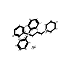 [Br-].c1ccc([P+](CCCN2CCCCC2)(c2ccccc2)c2ccccc2)cc1